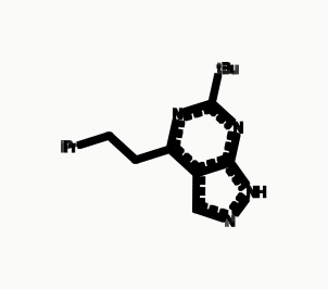 CC(C)CCc1nc(C(C)(C)C)nc2[nH]ncc12